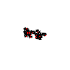 c1ccc2cc(N3c4cc5sc6ccccc6c5c5c4B(c4c3ccc3ccccc43)n3c4ccccc4c4cc(-c6ccc7ccc(N8c9cc%10ccccc%10cc9B9c%10c8cc8sc%11ccccc%11c8c%10-c8cccc%10c%11ccccc%11n9c8%10)cc7c6)cc-5c43)ccc2c1